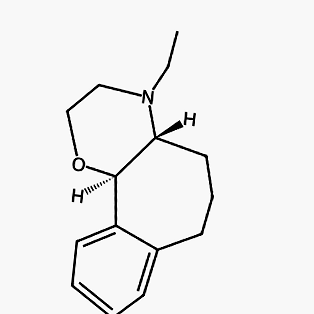 CCN1CCO[C@@H]2c3ccccc3CCC[C@H]21